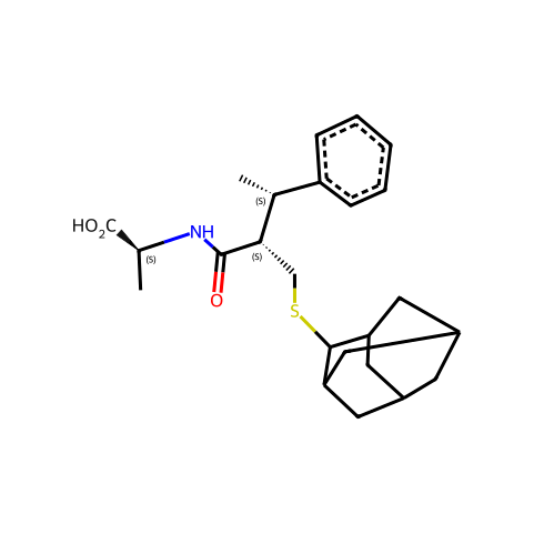 C[C@H](NC(=O)[C@@H](CSC1C2CC3CC(C2)CC1C3)[C@H](C)c1ccccc1)C(=O)O